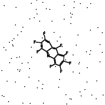 Fc1[c]c2c(F)c3c(F)c(F)c(F)c(F)c3nc2c(F)c1F